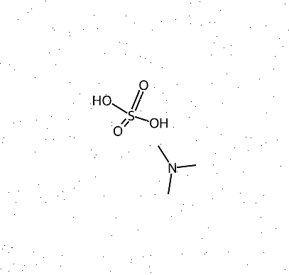 CN(C)C.O=S(=O)(O)O